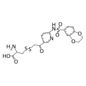 NC(CSSCC(=O)c1ccc(NS(=O)(=O)c2ccc3c(c2)OCCO3)nc1)C(=O)O